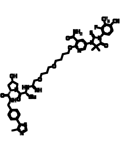 Cc1ncsc1-c1ccc(CNC(=O)[C@@H]2C[C@@H](O)CN2C(=O)[C@@H](NC(=N)COCCCOCCCCOc2ncc(N3C(=S)N(c4ccc(C#N)c(C(F)(F)F)c4F)C(=O)C3(C)C)cc2C(N)=O)C(C)(C)C)cc1